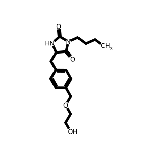 CCCCN1C(=O)NC(Cc2ccc(COCCO)cc2)C1=O